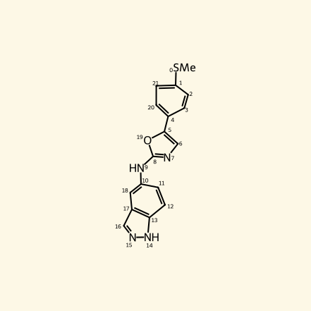 CSc1ccc(-c2cnc(Nc3ccc4[nH]ncc4c3)o2)cc1